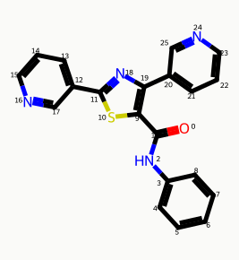 O=C(Nc1ccccc1)c1sc(-c2cccnc2)nc1-c1cccnc1